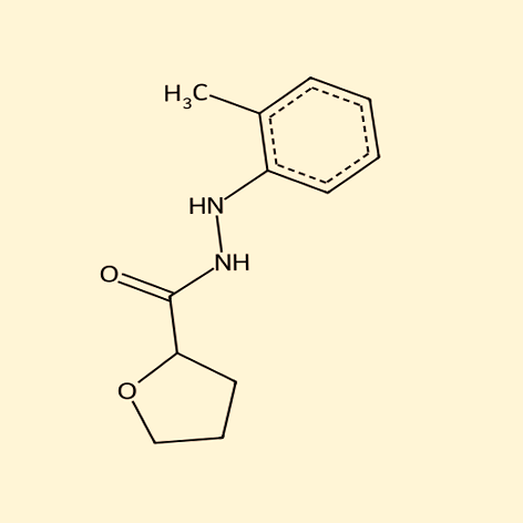 Cc1ccccc1NNC(=O)C1CCCO1